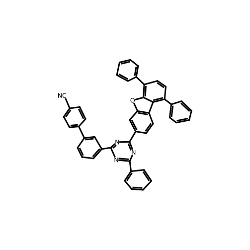 N#Cc1ccc(-c2cccc(-c3nc(-c4ccccc4)nc(-c4ccc5c(c4)oc4c(-c6ccccc6)ccc(-c6ccccc6)c45)n3)c2)cc1